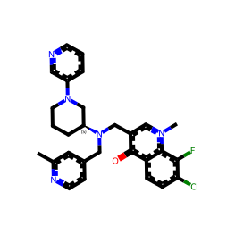 Cc1cc(CN(Cc2cn(C)c3c(F)c(Cl)ccc3c2=O)[C@H]2CCCN(c3cccnc3)C2)ccn1